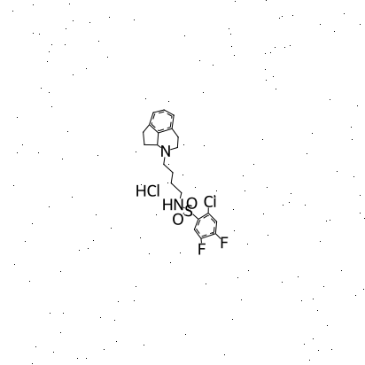 Cl.O=S(=O)(NCCCCN1CCc2cccc3c2C1CC3)c1cc(F)c(F)cc1Cl